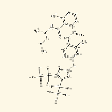 CSC[C@H](C)NC(=O)c1c(C)cccc1C(=O)Nc1cnc(Cn2cc(C(F)(F)C(F)(F)F)c(C(F)(F)C(F)(F)F)n2)nc1C